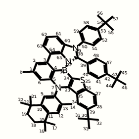 Cc1cc2c3c(c1)N(c1cc4c(cc1C)C(C)(C)CCC4(C)C)c1c(sc4ccc(C(C)(C)C)cc14)B3[n+]1c(-c3ccc(C(C)(C)C)cc3)n(-c3ccc(C(C)(C)C)cc3)c3cccc-2c31